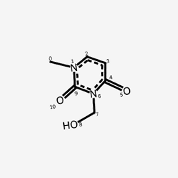 Cn1ccc(=O)n(CO)c1=O